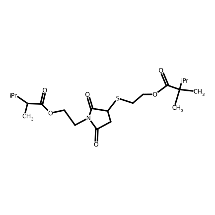 CC(C)C(C)C(=O)OCCN1C(=O)CC(SCCOC(=O)C(C)(C)C(C)C)C1=O